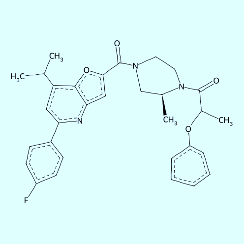 CC(Oc1ccccc1)C(=O)N1CCN(C(=O)c2cc3nc(-c4ccc(F)cc4)cc(C(C)C)c3o2)C[C@@H]1C